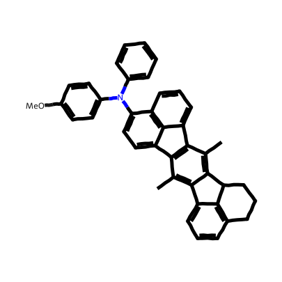 COc1ccc(N(c2ccccc2)c2ccc3c4c(cccc24)-c2c(C)c4c(c(C)c2-3)-c2cccc3c2C4CCC3)cc1